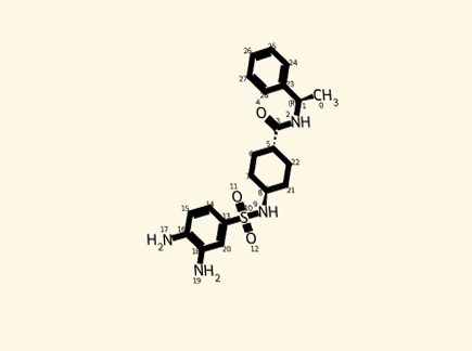 C[C@@H](NC(=O)[C@H]1CC[C@H](NS(=O)(=O)c2ccc(N)c(N)c2)CC1)c1ccccc1